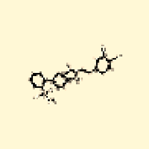 NS(=O)(=O)c1ccccc1-c1ccc2[nH]c(C=Cc3ccc(F)c(Cl)c3)nc2c1